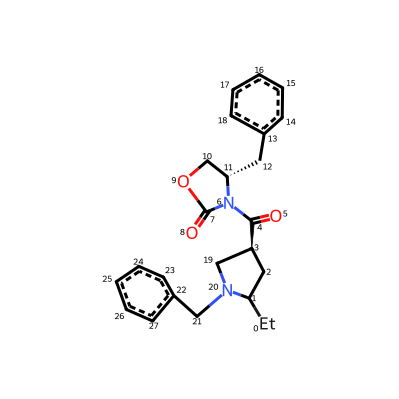 CCC1C[C@H](C(=O)N2C(=O)OC[C@@H]2Cc2ccccc2)CN1Cc1ccccc1